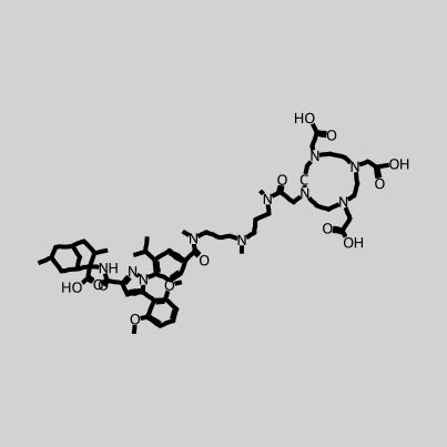 COc1cccc(OC)c1-c1cc(C(=O)NC2(C(=O)O)C(C)CC3CC(C)CC2C3)nn1-c1ccc(C(=O)N(C)CCCN(C)CCCN(C)C(=O)CN2CCN(CC(=O)O)CCN(CC(=O)O)CCN(CC(=O)O)CC2)cc1C(C)C